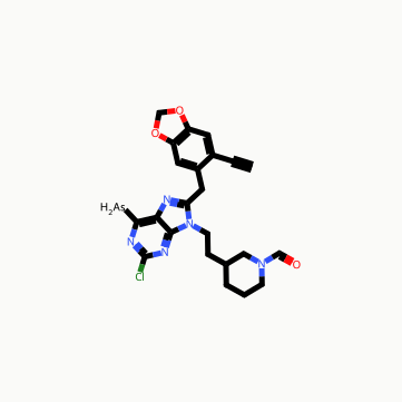 C#Cc1cc2c(cc1Cc1nc3c([AsH2])nc(Cl)nc3n1CCC1CCCN(C=O)C1)OCO2